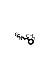 CC(CCN=C=O)C1CCCCC1